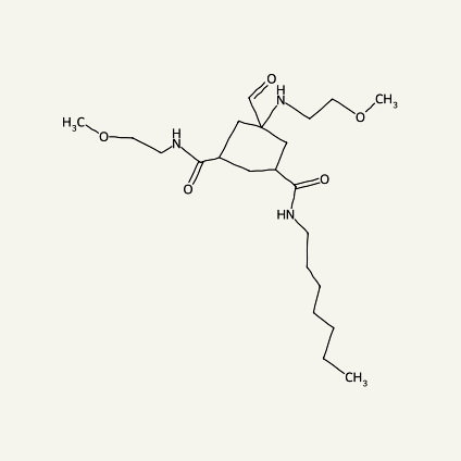 CCCCCCCNC(=O)C1CC(C(=O)NCCOC)CC(C=O)(NCCOC)C1